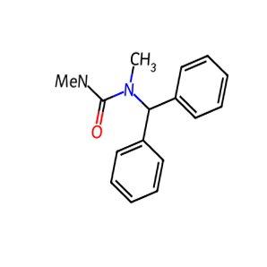 CNC(=O)N(C)C(c1ccccc1)c1ccccc1